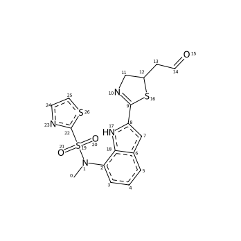 CN(c1cccc2cc(C3=NCC(CC=O)S3)[nH]c12)S(=O)(=O)c1nccs1